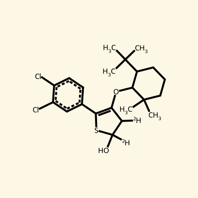 [2H]C1C(OC2C(C(C)(C)C)CCCC2(C)C)=C(c2ccc(Cl)c(Cl)c2)SC1([2H])O